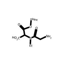 CCCCCCOC(=O)C(C(=O)O)N(CC)C(=O)CN